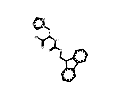 O=C(N[C@@H](Cn1cncn1)C(=O)O)OCC1c2ccccc2-c2ccccc21